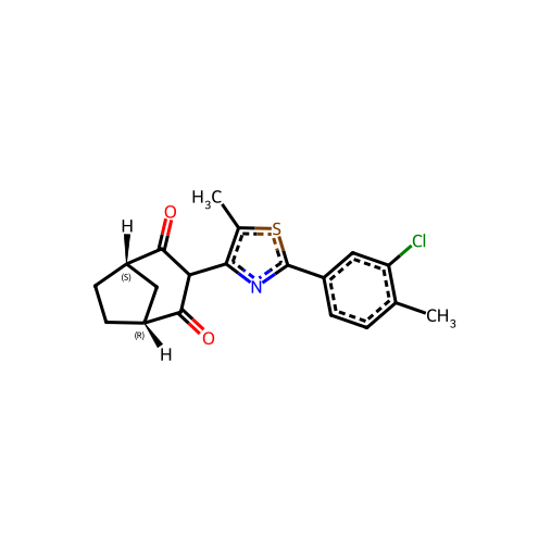 Cc1ccc(-c2nc(C3C(=O)[C@@H]4CC[C@@H](C4)C3=O)c(C)s2)cc1Cl